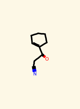 N#CCC(=O)C1=CCCCC1